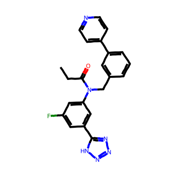 CCC(=O)N(Cc1cccc(-c2ccncc2)c1)c1cc(F)cc(-c2nnn[nH]2)c1